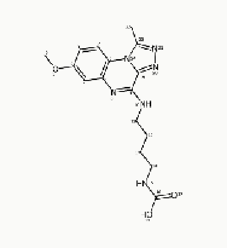 COc1ccc2c(c1)nc(NCCCCNC(=O)O)c1nnc(C)n12